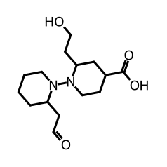 O=CCC1CCCCN1N1CCC(C(=O)O)CC1CCO